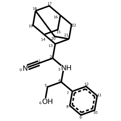 N#CC(NC(CO)c1ccccc1)C1C2CC3CC(C2)CC1C3